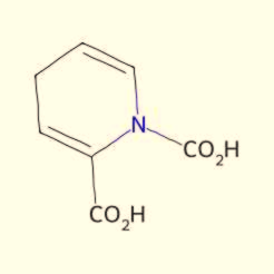 O=C(O)C1=CCC=CN1C(=O)O